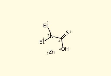 CCN(CC)C(O)=S.[Zn]